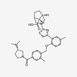 Cc1ccc(OCc2ccc(C(=O)N3CC[C@@H](N(C)C)C3)cc2C)c(-c2csc(N3CC4CC[C@H](C3)[C@@H]4C(=O)O)n2)c1